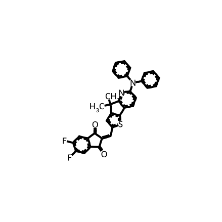 CC1(C)c2cc(C=C3C(=O)c4cc(F)c(F)cc4C3=O)sc2-c2ccc(N(c3ccccc3)c3ccccc3)nc21